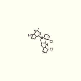 Cc1nc(NCc2cc3cccc(Cl)c3nc2-c2ccccc2Cl)c2cc[nH]c2n1